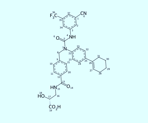 N#Cc1cc(NC(=O)N(Cc2ccc(C(=O)NC[C@@H](O)C(=O)O)cc2)c2ccc(C3=CCCCC3)cc2)cc(C(F)(F)F)c1